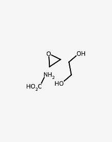 C1CO1.NC(=O)O.OCCO